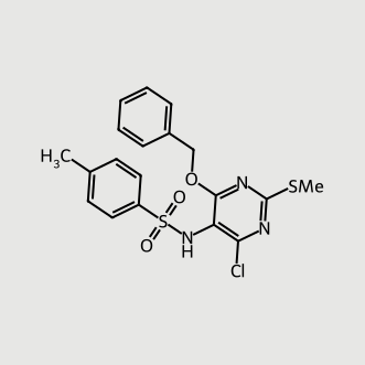 CSc1nc(Cl)c(NS(=O)(=O)c2ccc(C)cc2)c(OCc2ccccc2)n1